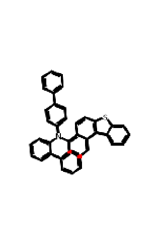 c1ccc(-c2ccc(N(c3ccccc3-c3ccccc3)c3cccc4c3ccc3sc5ccccc5c34)cc2)cc1